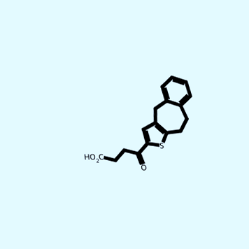 O=C(O)CCC(=O)c1cc2c(s1)CCc1ccccc1C2